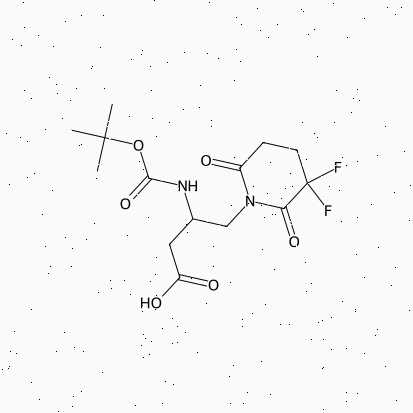 CC(C)(C)OC(=O)NC(CC(=O)O)CN1C(=O)CCC(F)(F)C1=O